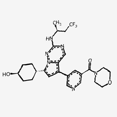 C[C@@H](CC(F)(F)F)Nc1ncc2c(-c3cncc(C(=O)N4CCOCC4)c3)cc([C@H]3CC[C@H](O)CC3)n2n1